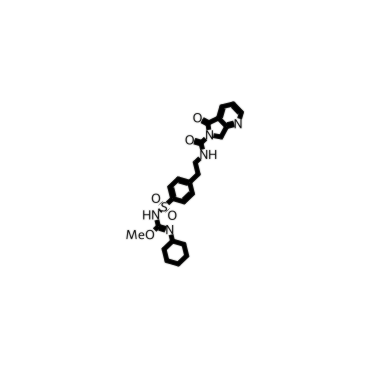 COC(=NC1CCCCC1)NS(=O)(=O)c1ccc(CCNC(=O)N2Cc3ncccc3C2=O)cc1